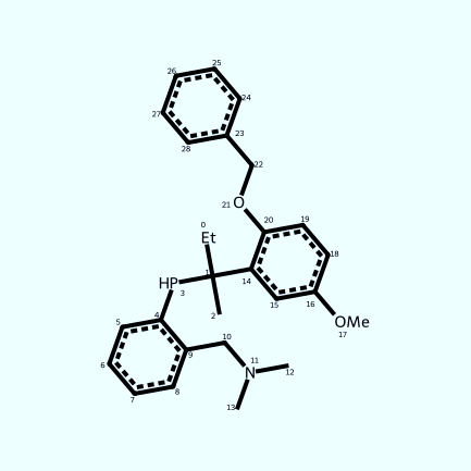 CCC(C)(Pc1ccccc1CN(C)C)c1cc(OC)ccc1OCc1ccccc1